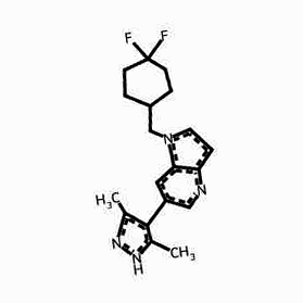 Cc1n[nH]c(C)c1-c1cnc2ccn(CC3CCC(F)(F)CC3)c2c1